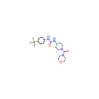 O=C(Nc1ccc(C(F)(F)F)cc1)NC1CCN(C(=O)N2CCOCC2)CC1